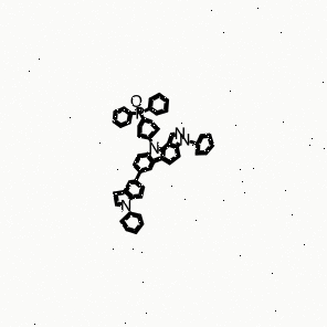 O=P(c1ccccc1)(c1ccccc1)c1ccc(-n2c3ccc(-c4ccc5c(ccn5-c5ccccc5)c4)cc3c3ccc4c(cnn4-c4ccccc4)c32)cc1